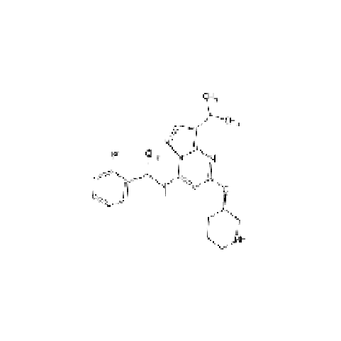 CC(C)c1cnn2c(N[C@@H](C)c3ccccc3Br)nc(O[C@@H]3CCCNC3)nc12